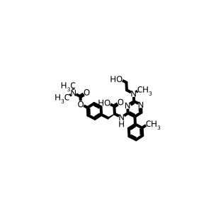 Cc1ccccc1-c1cnc(N(C)CCO)nc1N[C@@H](Cc1ccc(OC(=O)N(C)C)cc1)C(=O)O